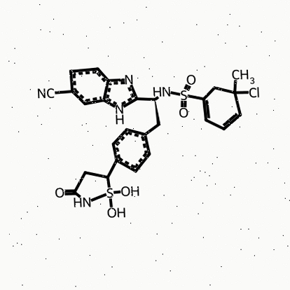 CC1(Cl)C=CC=C(S(=O)(=O)N[C@@H](Cc2ccc(C3CC(=O)NS3(O)O)cc2)c2nc3ccc(C#N)cc3[nH]2)C1